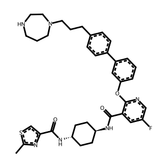 Cc1nc(C(=O)N[C@H]2CC[C@H](NC(=O)c3cc(F)cnc3Oc3cccc(-c4ccc(CCCN5CCCNCC5)cc4)c3)CC2)cs1